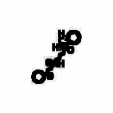 CC1NC(CCCCNC(=O)CCC(=O)C2CCCCCCCC2)C(=O)C1c1ccccccccc1